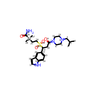 CC(C)CN1CCN(C(=O)[CH]C(c2ccc3[nH]ccc3c2)S(=O)(=O)CC[Si](C)(C)C(N)=O)CC1